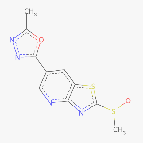 Cc1nnc(-c2cnc3nc([S+](C)[O-])sc3c2)o1